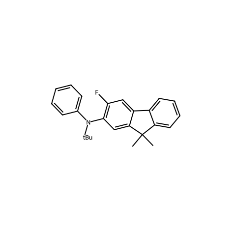 CC1(C)c2ccccc2-c2cc(F)c(N(c3ccccc3)C(C)(C)C)cc21